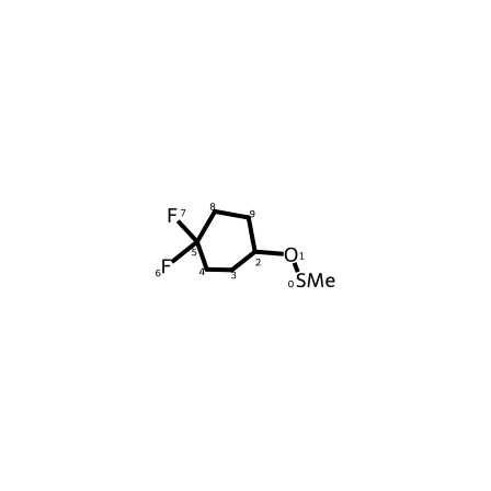 CSOC1CCC(F)(F)CC1